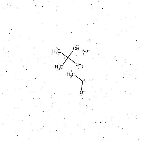 CC(C)(C)O.CC[O-].[Na+]